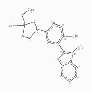 CCCC1(CO)CCN(c2cc(-c3nc4ccccc4n3C)c(Cl)cn2)C1